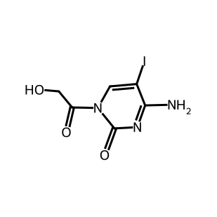 Nc1nc(=O)n(C(=O)CO)cc1I